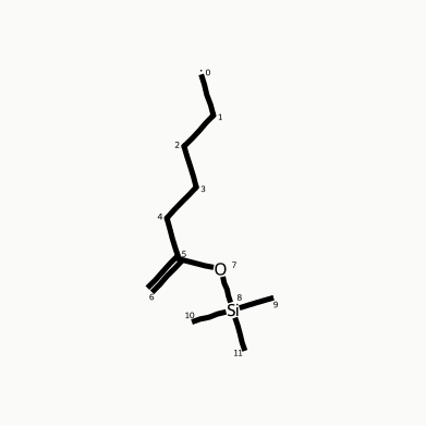 [CH2]CCCCC(=C)O[Si](C)(C)C